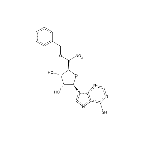 O=[N+]([O-])C(OCc1ccccc1)[C@H]1O[C@@H](n2cnc3c(S)ncnc32)[C@H](O)[C@@H]1O